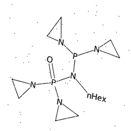 CCCCCCN(P(N1CC1)N1CC1)P(=O)(N1CC1)N1CC1